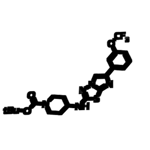 CC(C)(C)OC(=O)N1CCC(Nc2nn3cc(-c4cccc(OC(F)(F)F)c4)nc3s2)CC1